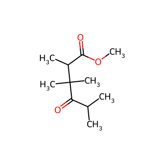 COC(=O)C(C)C(C)(C)C(=O)C(C)C